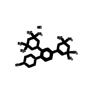 CCCN1CCN(c2ccc(C3=CC(C)(C)CC(C)(C)C3)cc2C2CC(C)(C)CC(C)(C)C2)CC1.Cl